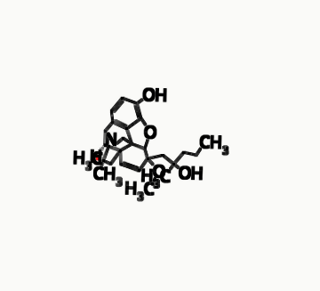 CCCC(C)(O)CC1(OC)C=CC2(CC)[C@H]3Cc4ccc(O)c5c4C2(CCN3C)C1O5